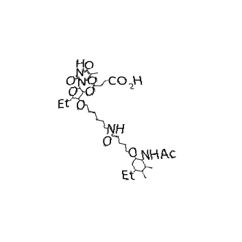 CC[C@H]1C[C@@H](OCCCCC(=O)NCCCCCCOC2[C@@H](CC)O[C@@H](n3cc(C)c(=O)[nH]c3=O)[C@H]2OC(=O)CCC(=O)O)[C@H](NC(C)=O)[C@@H](C)[C@H]1C